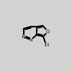 CCc1occ2ccnnc12